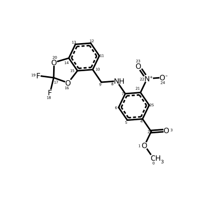 COC(=O)c1ccc(NCc2cccc3c2OC(F)(F)O3)c([N+](=O)[O-])c1